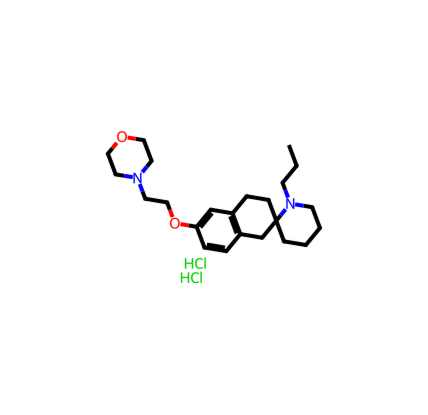 CCCN1CCCCC12CCc1cc(OCCN3CCOCC3)ccc1C2.Cl.Cl